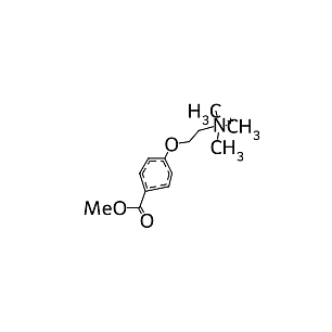 COC(=O)c1ccc(OCC[N+](C)(C)C)cc1